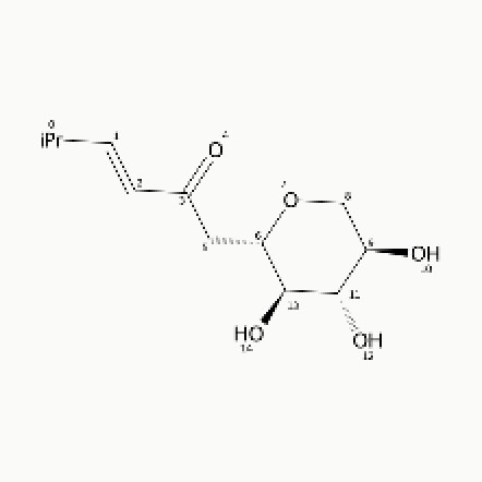 CC(C)/C=C/C(=O)C[C@@H]1OC[C@@H](O)[C@H](O)[C@H]1O